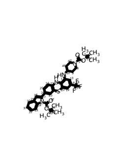 CC(C)(C)OC(=O)N1CCC(Nc2cc(C(F)(F)F)cc3c2Nc2ccc(-c4cc5ccccc5n4C(=O)OC(C)(C)C)cc2S3)CC1